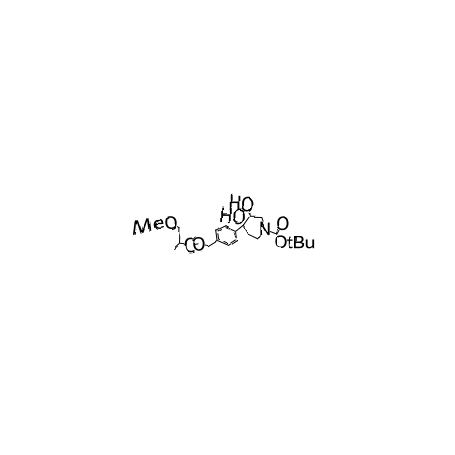 COCC(C)COCc1ccc([C@@]2(O)CCN(C(=O)OC(C)(C)C)C[C@@H]2O)cc1